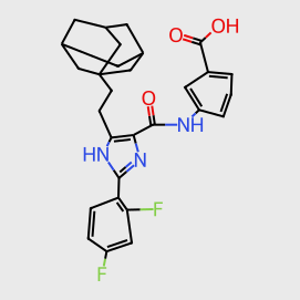 O=C(O)c1cccc(NC(=O)c2nc(-c3ccc(F)cc3F)[nH]c2CCC23CC4CC(CC(C4)C2)C3)c1